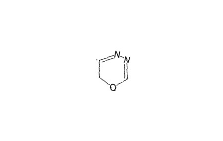 [C]1=NN=COC1